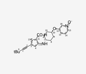 CC(C)(C)C#Cc1cc(N[C@H]2CC[C@H](Oc3ccc[n+]([O-])c3)CC2)c(C(=O)O)s1